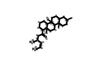 C[C@H]1CC[C@@]2(C)C(CC[C@@H]3C2CC[C@@]2(C)C3CCC[C@@H]2C(=O)CN(N)/N=C\N)C1